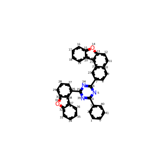 c1ccc(-c2nc(-c3ccc4ccc5oc6ccccc6c5c4c3)nc(-c3cccc4oc5ccccc5c34)n2)cc1